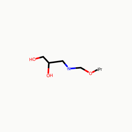 CC(C)OC[N]CC(O)CO